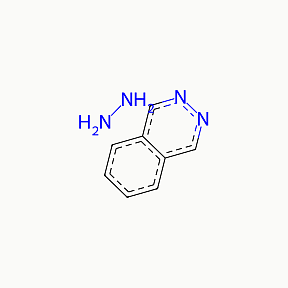 NN.c1ccc2cnncc2c1